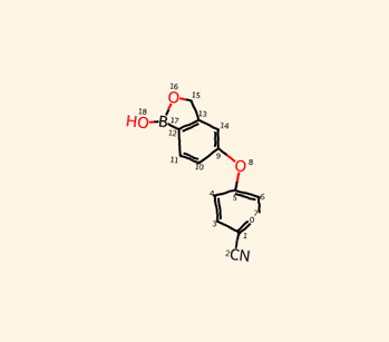 C=C(C#N)/C=C\C(=C/C)Oc1ccc2c(c1)COB2O